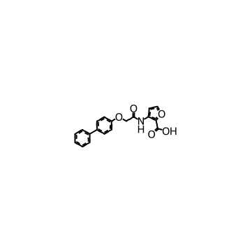 O=C(COc1ccc(-c2ccccc2)cc1)Nc1ccoc1C(=O)O